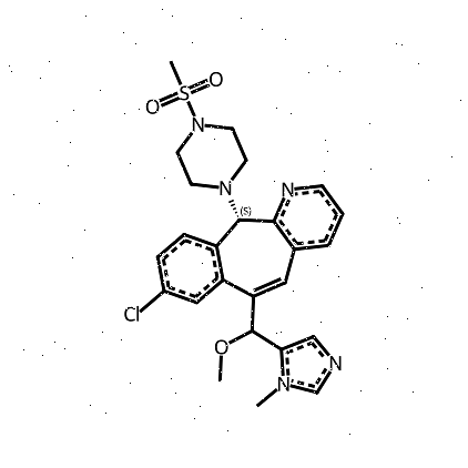 COC(C1=Cc2cccnc2[C@@H](N2CCN(S(C)(=O)=O)CC2)c2ccc(Cl)cc21)c1cncn1C